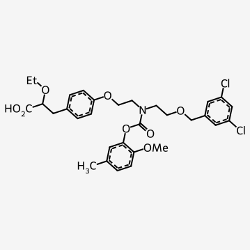 CCOC(Cc1ccc(OCCN(CCOCc2cc(Cl)cc(Cl)c2)C(=O)Oc2cc(C)ccc2OC)cc1)C(=O)O